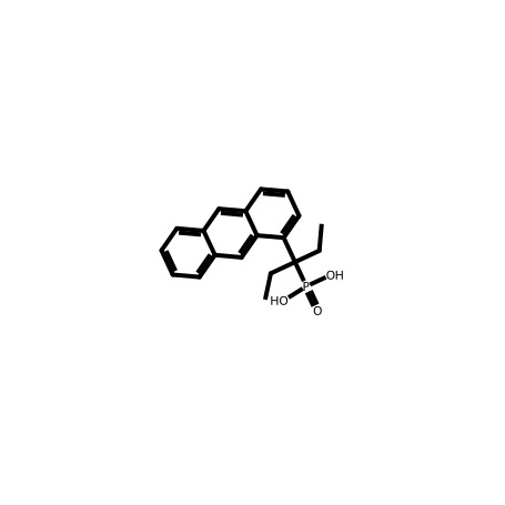 CCC(CC)(c1cccc2cc3ccccc3cc12)P(=O)(O)O